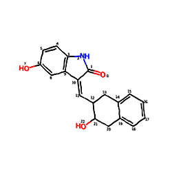 O=C1Nc2ccc(O)cc2C1=CC1Cc2ccccc2CC1O